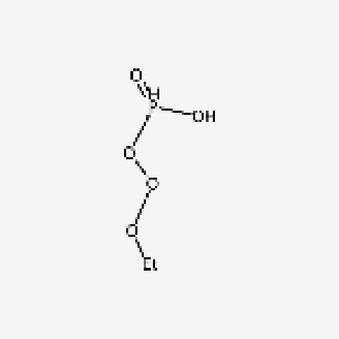 CCOOO[PH](=O)O